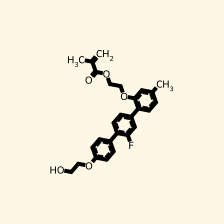 C=C(C)C(=O)OCCOc1cc(C)ccc1-c1ccc(-c2ccc(OCCO)cc2)c(F)c1